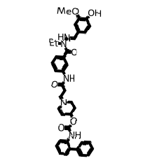 CCN(NCc1ccc(O)c(OC)c1)C(=O)c1cccc(NC(=O)CCN2CCC(OC(=O)Nc3ccccc3-c3ccccc3)CC2)c1